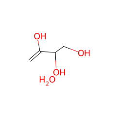 C=C(O)C(O)CO.O